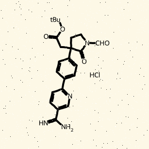 CC(C)(C)OC(=O)CC1(c2ccc(-c3ccc(C(=N)N)cn3)cc2)CCN(C=O)C1=O.Cl